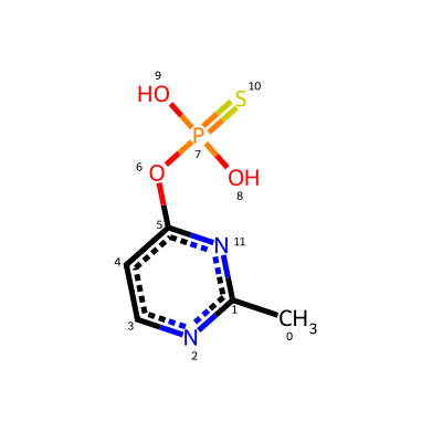 Cc1nccc(OP(O)(O)=S)n1